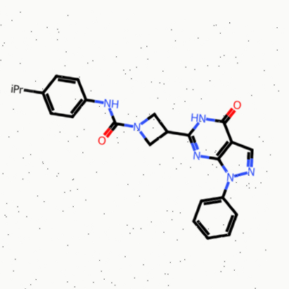 CC(C)c1ccc(NC(=O)N2CC(c3nc4c(cnn4-c4ccccc4)c(=O)[nH]3)C2)cc1